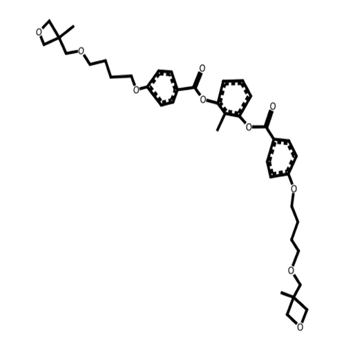 Cc1c(OC(=O)c2ccc(OCCCCOCC3(C)COC3)cc2)cccc1OC(=O)c1ccc(OCCCCOCC2(C)COC2)cc1